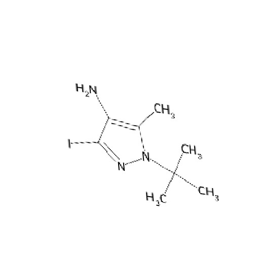 Cc1c(N)c(I)nn1C(C)(C)C